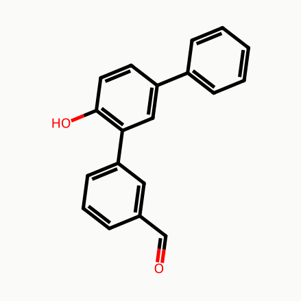 O=Cc1cccc(-c2cc(-c3ccccc3)ccc2O)c1